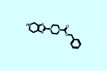 O=C(OCc1ccccc1)N1CCN(c2nc3c(s2)CNCC3)CC1